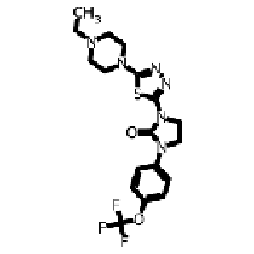 CCN1CCN(c2nnc(N3CCN(c4ccc(OC(F)(F)F)cc4)C3=O)s2)CC1